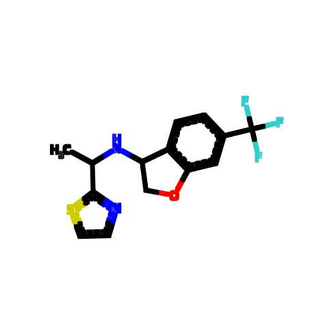 CC(NC1COc2cc(C(F)(F)F)ccc21)c1nccs1